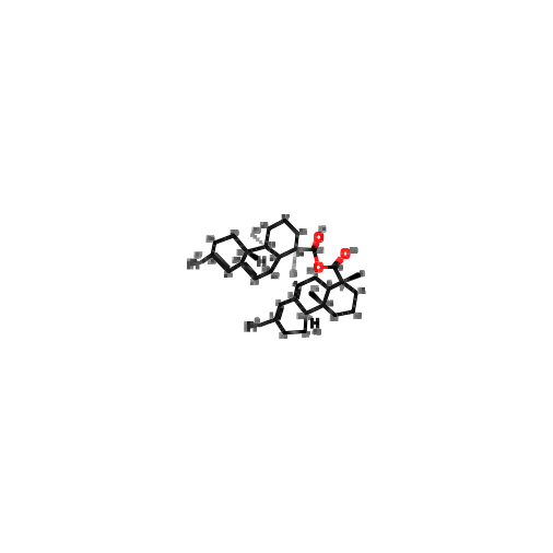 CC(C)C1=CC2=CCC3[C@](C)(C(=O)OC(=O)[C@]4(C)CCC[C@@]5(C)C4CC=C4C=C(C(C)C)CC[C@@H]45)CCC[C@]3(C)[C@H]2CC1